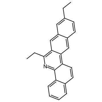 CCc1ccc2cc3c(cc2c1)c(CC)nc1c2ccccc2ccc31